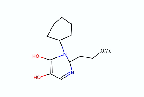 COCCC1N=CC(O)=C(O)N1C1CCCCC1